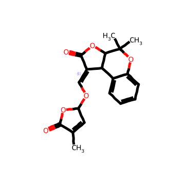 CC1=CC(O/C=C2/C(=O)OC3C2c2ccccc2OC3(C)C)OC1=O